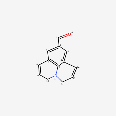 O=Cc1cc2c3c(c1)C=CCN3CC=C2